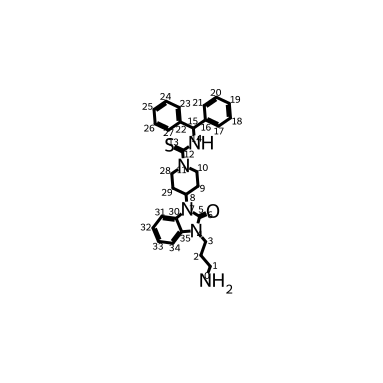 NCCCn1c(=O)n(C2CCN(C(=S)NC(c3ccccc3)c3ccccc3)CC2)c2ccccc21